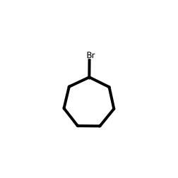 Br[C]1CCCCCC1